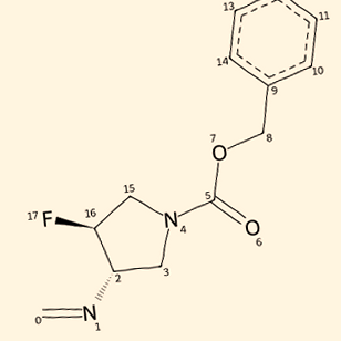 C=N[C@H]1CN(C(=O)OCc2ccccc2)C[C@@H]1F